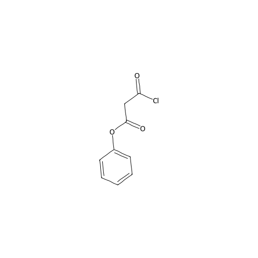 O=C(Cl)CC(=O)Oc1ccccc1